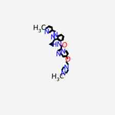 Cc1ccc(Cn2nc(C3CC3)c3c(NC(=O)c4cnc5cc(OCCN6CCN(C)CC6)ccn45)cccc32)cn1